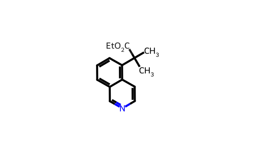 CCOC(=O)C(C)(C)c1cccc2cnccc12